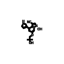 CC(C)(O)COc1cc(C2=CCNC2)c2c(C#N)cnn2c1.Cl